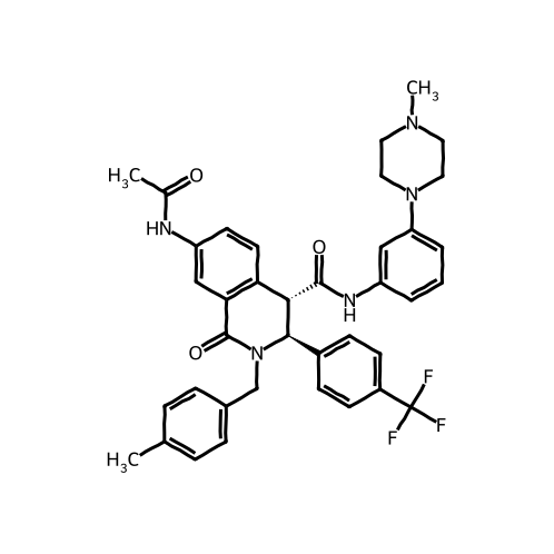 CC(=O)Nc1ccc2c(c1)C(=O)N(Cc1ccc(C)cc1)[C@H](c1ccc(C(F)(F)F)cc1)[C@H]2C(=O)Nc1cccc(N2CCN(C)CC2)c1